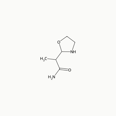 CC(C(N)=O)C1NCCO1